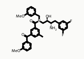 COc1cccc(CN(C[C@@H](O)[C@@H](N)Cc2cc(F)cc(F)c2)C(=O)c2cc(C)cc(C(=O)c3cccc(OC)c3)c2)c1